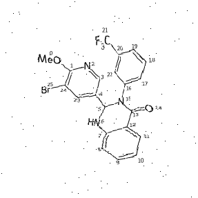 COc1ncc(C2Nc3ccccc3C(=O)N2c2cccc(C(F)(F)F)c2)cc1Br